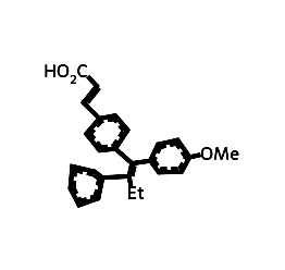 CCC(=C(c1ccc(C=CC(=O)O)cc1)c1ccc(OC)cc1)c1ccccc1